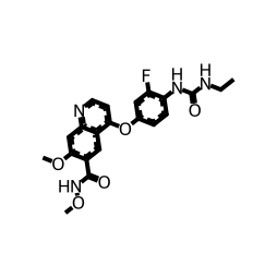 CCNC(=O)Nc1ccc(Oc2ccnc3cc(OC)c(C(=O)NOC)cc23)cc1F